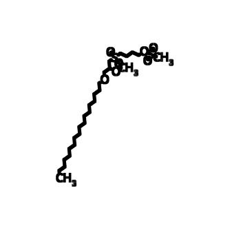 CCCCCCCCCCCCCCCCCCOCC(CS(=O)(=O)CCCCOS(C)(=O)=O)OC